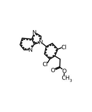 COC(=O)Cc1c(Cl)cc(-n2cnc3cccnc32)cc1Cl